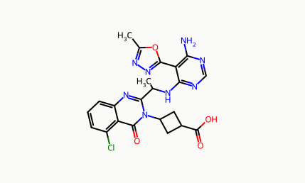 Cc1nnc(-c2c(N)ncnc2NC(C)c2nc3cccc(Cl)c3c(=O)n2C2CC(C(=O)O)C2)o1